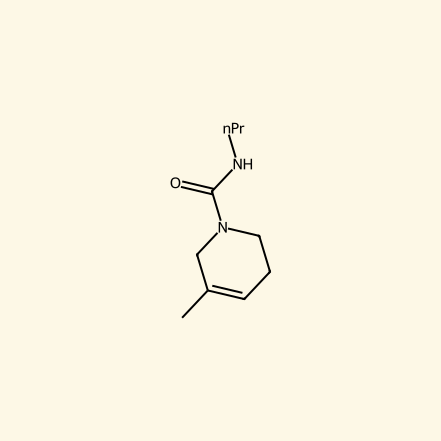 CCCNC(=O)N1CCC=C(C)C1